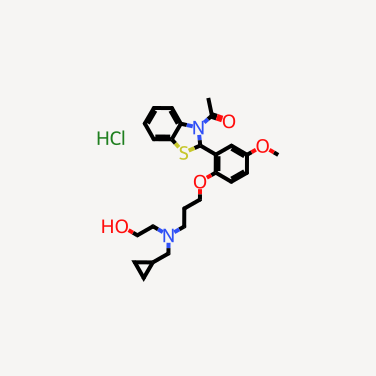 COc1ccc(OCCCN(CCO)CC2CC2)c(C2Sc3ccccc3N2C(C)=O)c1.Cl